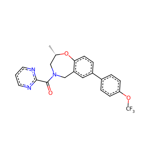 C[C@H]1CN(C(=O)c2ncccn2)Cc2cc(-c3ccc(OC(F)(F)F)cc3)ccc2O1